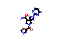 NC(=O)C1CN(C(=O)c2cncs2)CC12CN(c1ncccn1)C2